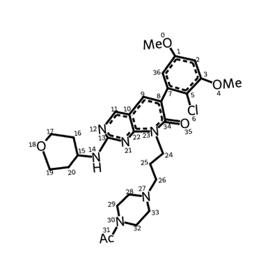 COc1cc(OC)c(Cl)c(-c2cc3cnc(NC4CCOCC4)nc3n(CCCN3CCN(C(C)=O)CC3)c2=O)c1